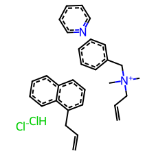 C=CC[N+](C)(C)Cc1ccccc1.C=CCc1cccc2ccccc12.Cl.[Cl-].c1ccncc1